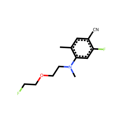 Cc1cc(C#N)c(F)cc1N(C)CCOCCF